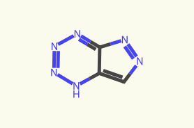 c1nnc2nnn[nH]c1-2